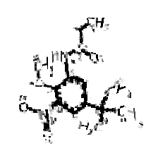 CC[S+]([O-])Nc1cc(C(C)(C)C)cc([N+](=O)[O-])c1OC